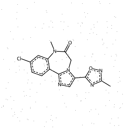 Cc1noc(-c2cnc3n2CC(=O)N(C)c2cc(Cl)ccc2-3)n1